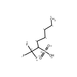 CCCCCC(C(F)(F)F)S(=O)(=O)O